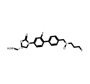 CC(=O)NC[C@H]1CN(c2ccc(-c3ccc(C[S+]([O-])CCCF)cc3)c(F)c2)C(=O)O1